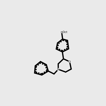 CCCCCCCCc1ccc(C2CN(Cc3ccccc3)CCO2)cc1